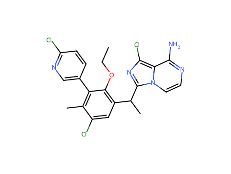 CCOc1c(C(C)c2nc(Cl)c3c(N)nccn23)cc(Cl)c(C)c1-c1ccc(Cl)nc1